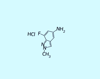 Cl.Cn1cc2cc(N)cc(F)c2n1